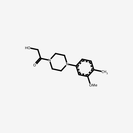 COc1cc(N2CCN(C(=O)CO)CC2)ccc1C